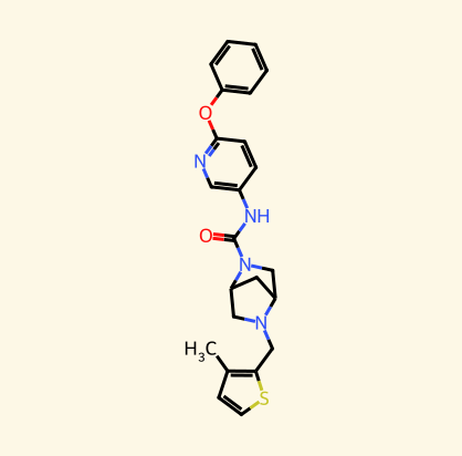 Cc1ccsc1CN1CC2CC1CN2C(=O)Nc1ccc(Oc2ccccc2)nc1